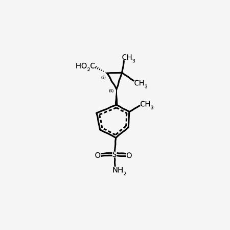 Cc1cc(S(N)(=O)=O)ccc1[C@H]1[C@H](C(=O)O)C1(C)C